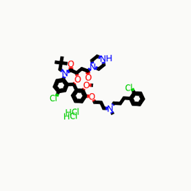 COc1c(OCCCN(C)CCCc2ccccc2Cl)cccc1C1OC(CC(=O)N2CCNCC2)C(=O)N(CC(C)(C)C)c2ccc(Cl)cc21.Cl.Cl